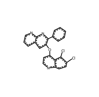 Clc1ccc2nccc(Oc3cc4cccnc4nc3-c3ccccc3)c2c1Cl